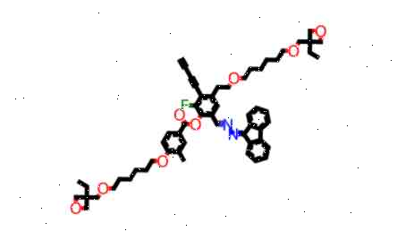 C#CC#Cc1c(CCOCCCCCCOCC2(CC)COC2)cc(/C=N/N=C2c3ccccc3-c3ccccc32)c(OC(=O)c2ccc(OCCCCCCOCC3(CC)COC3)c(C)c2)c1F